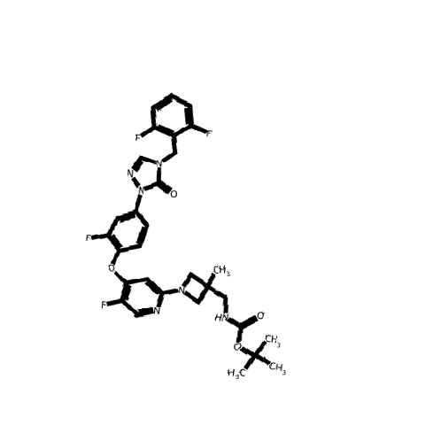 CC1(CNC(=O)OC(C)(C)C)CN(c2cc(Oc3ccc(-n4ncn(Cc5c(F)cccc5F)c4=O)cc3F)c(F)cn2)C1